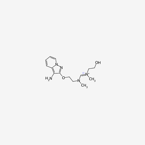 CN(/C=[N+](\C)CCO)CCOc1nn2ccccc2c1N